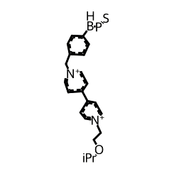 CC(C)OCC[n+]1ccc(-c2cc[n+](Cc3ccc(BP=S)cc3)cc2)cc1